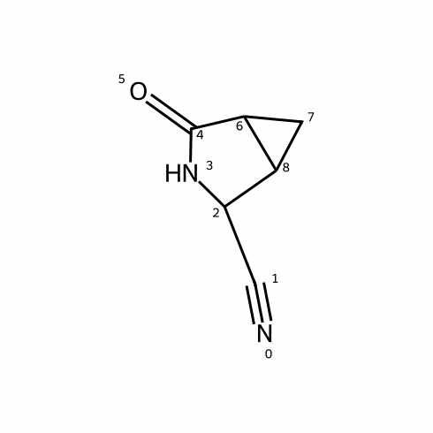 N#CC1NC(=O)C2CC12